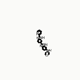 c1ccc(-c2nc3ccc(-c4nc5ccc(NN6CCOCC6)cc5[nH]4)cc3[nH]2)nc1